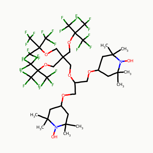 CC1(C)CC(OCC(COC2CC(C)(C)N(O)C(C)(C)C2)OCC(COC(C(F)(F)F)(C(F)(F)F)C(F)(F)F)(COC(C(F)(F)F)(C(F)(F)F)C(F)(F)F)COC(C(F)(F)F)(C(F)(F)F)C(F)(F)F)CC(C)(C)N1O